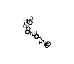 O=C1CCC(N2Cc3c(NCc4ccc(CCCNC56CC7CC(CC(C7)C5)C6)cc4)cccc3C2=O)C(=O)N1